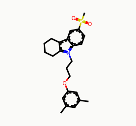 Cc1cc(C)cc(OCCCn2c3c(c4cc(S(C)(=O)=O)ccc42)CCCC3)c1